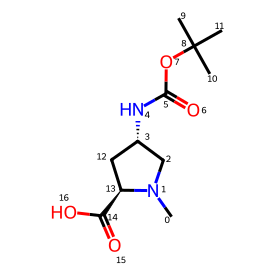 CN1C[C@@H](NC(=O)OC(C)(C)C)C[C@@H]1C(=O)O